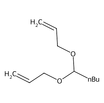 C=CCOC(CCCC)OCC=C